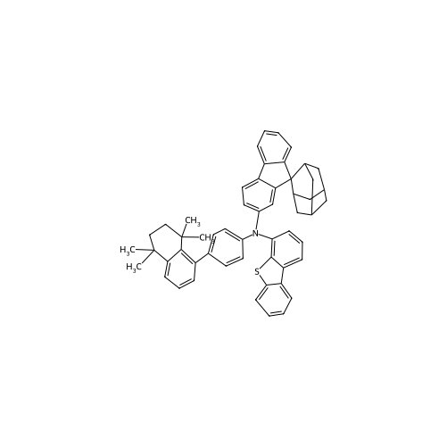 CC1(C)CCC(C)(C)c2c(-c3ccc(N(c4ccc5c(c4)C4(c6ccccc6-5)C5CC6CC(C5)CC4C6)c4cccc5c4sc4ccccc45)cc3)cccc21